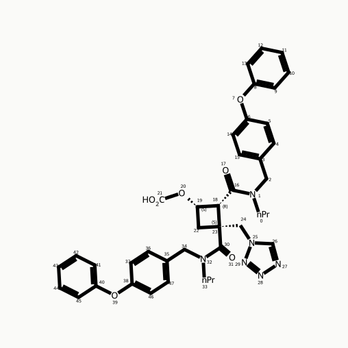 CCCN(Cc1ccc(Oc2ccccc2)cc1)C(=O)[C@H]1[C@@H](OC(=O)O)C[C@]1(Cn1cnnn1)C(=O)N(CCC)Cc1ccc(Oc2ccccc2)cc1